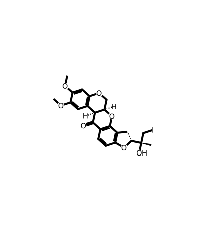 COc1cc2c(cc1OC)[C@@H]1C(=O)c3ccc4c(c3O[C@@H]1CO2)C[C@H]([C@@](C)(O)CI)O4